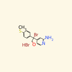 Br.CSc1ccc(C(Br)(C=O)c2ccnc(N)c2)cc1